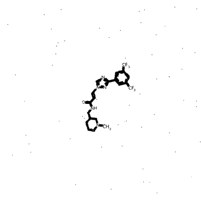 CN1CCCC(CNC(=O)C=Cn2cnc(-c3cc(C(F)(F)F)cc(C(F)(F)F)c3)n2)C1